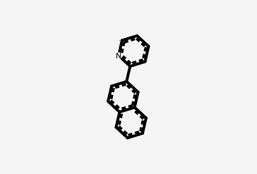 [c]1cccc(-c2ccc3ccccc3c2)n1